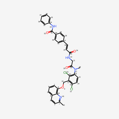 Cc1ccc2cccc(OCc3c(Cl)ccc(N(C)C(=O)CNC(=O)C=Cc4ccc(C(=O)Nc5ccccc5)cc4)c3Cl)c2n1